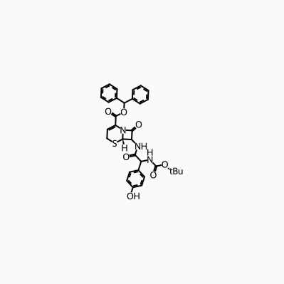 CC(C)(C)OC(=O)NC(C(=O)NC1C(=O)N2C(C(=O)OC(c3ccccc3)c3ccccc3)=CCS[C@@H]12)c1ccc(O)cc1